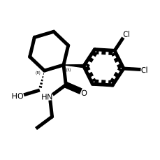 CCNC(=O)[C@@]1(c2ccc(Cl)c(Cl)c2)CCCC[C@H]1CO